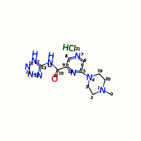 CN1CCN(c2cncc(C(=O)Nc3nnn[nH]3)n2)CC1.Cl